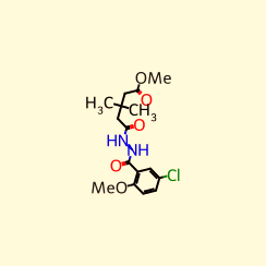 COC(=O)CC(C)(C)CC(=O)NNC(=O)c1cc(Cl)ccc1OC